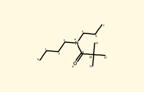 CCCCN(CCC)C(=O)C(C)(C)C